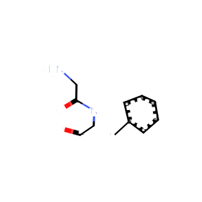 NCC(=O)N[C@@H]([C]=O)Cc1ccccc1